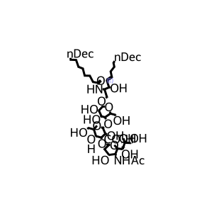 CCCCCCCCCCCCC/C=C/C(O)C(COC1OC(CO)C(OC2OC(CO)C(O)C(OC3(C(=O)O)CC(O)C(NC(C)=O)C(C(O)C(O)CO)O3)C2O)C(O)C1O)NC(=O)CCCCCCCCCCCCCCCCC